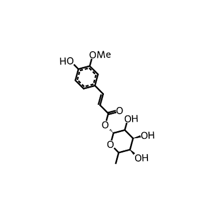 COc1cc(/C=C/C(=O)O[C@H]2OC(C)[C@H](O)[C@H](O)C2O)ccc1O